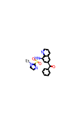 CCn1ccnc1S(=O)(=O)Nc1cc(C(=O)c2ccccc2)cc2cccnc12